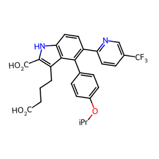 CC(C)Oc1ccc(-c2c(-c3ccc(C(F)(F)F)cn3)ccc3[nH]c(C(=O)O)c(CCCC(=O)O)c23)cc1